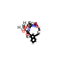 COC(=O)[C@@H]1C[C@]2(OC)CN1C(=O)[C@H](C(C)(C)C)NC(=O)OCCCC=Cc1cc2cc2ccccc12